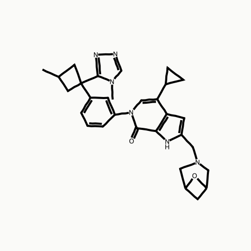 CC1CC(c2cccc(-n3cc(C4CC4)c4cc(CN5CC6CC(C5)O6)[nH]c4c3=O)c2)(c2nncn2C)C1